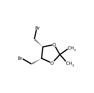 CC1(C)O[C@@H](CBr)[C@@H](CBr)O1